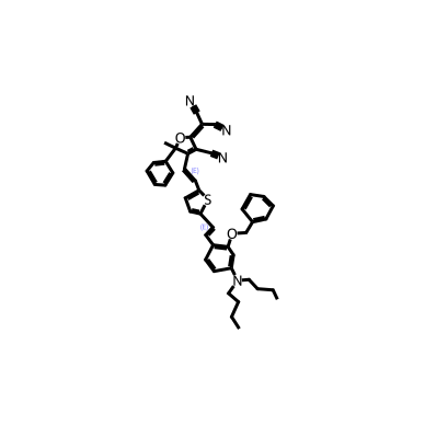 CCCCN(CCCC)c1ccc(/C=C/c2ccc(/C=C/C3=C(C#N)C(=C(C#N)C#N)OC3(C)c3ccccc3)s2)c(OCc2ccccc2)c1